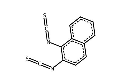 S=C=Nc1ccc2ccccc2c1N=C=S